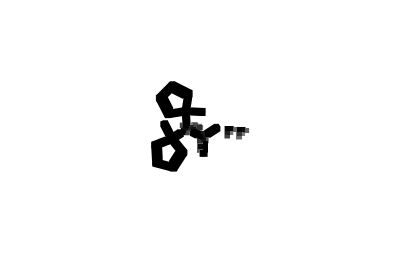 C[SiH](C)[Zr+2]([C]1(C)C=CC=C1)[C]1(C)C=CC=C1.[F-].[F-]